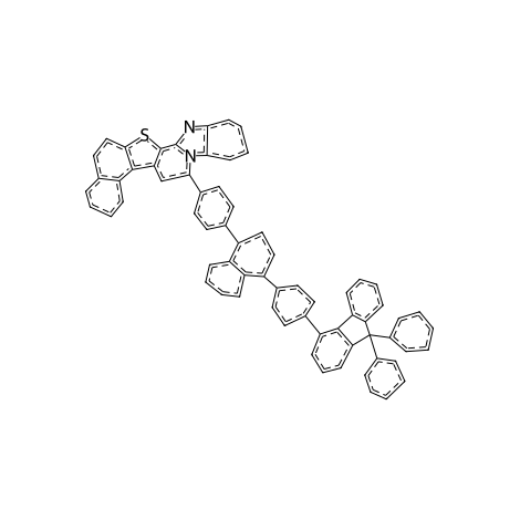 c1ccc(C2(c3ccccc3)c3ccccc3-c3c(-c4ccc(-c5ccc(-c6ccc(-c7cc8c(sc9ccc%10ccccc%10c98)c8nc9ccccc9n78)cc6)c6ccccc56)cc4)cccc32)cc1